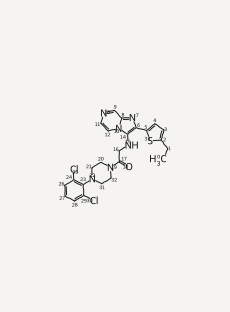 CCc1ccc(-c2nc3cnccn3c2NCC(=O)N2CCN(c3c(Cl)cccc3Cl)CC2)s1